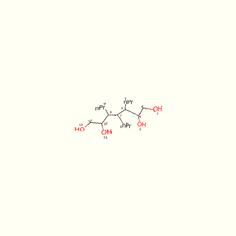 [CH2]CC[C](C(CCC)C(O)CO)C(CCC)C(O)CO